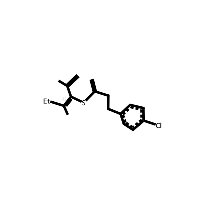 C=C(CCc1ccc(Cl)cc1)S/C(C(=C)C)=C(\C)CC